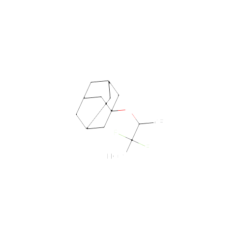 O=S(=O)(O)C(F)(F)C(OC12CC3CC(CC(C3)C1)C2)C(F)(F)F